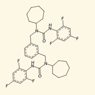 O=C(Nc1c(F)cc(F)cc1F)N(Cc1cccc(CN(C(=O)Nc2c(F)cc(F)cc2F)C2CCCCCC2)c1)C1CCCCCC1